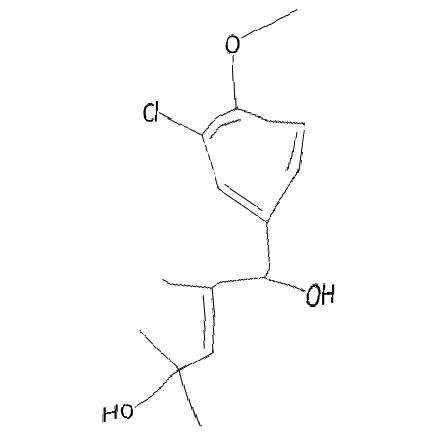 COc1ccc(C(O)/C(C)=C/C(C)(C)O)cc1Cl